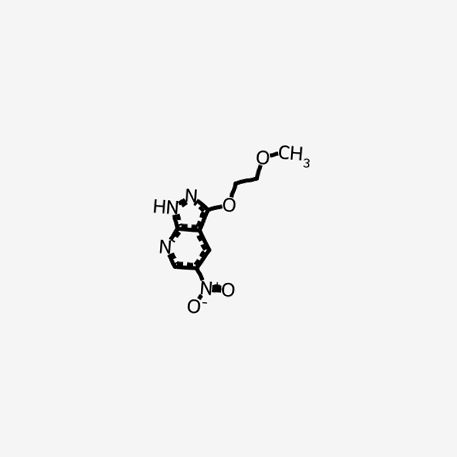 COCCOc1n[nH]c2ncc([N+](=O)[O-])cc12